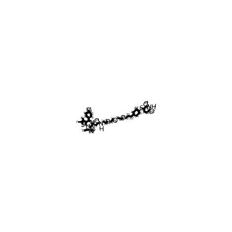 Cc1sc2c(c1C)C(c1ccc(Cl)cc1)=N[C@@H](CC(=O)NCCOCCOCCOCCCc1ccc(SC3CCC(=O)NC3=O)cc1)c1nnc(C)n1-2